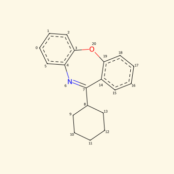 c1ccc2c(c1)N=C(C1CCCCC1)c1ccccc1O2